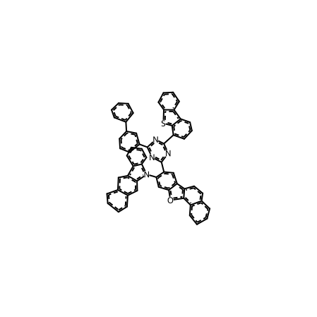 c1ccc(-c2cccc(-c3nc(-c4cc5c(cc4-n4c6ccccc6c6cc7ccccc7cc64)oc4c6ccccc6ccc54)nc(-c4cccc5c4sc4ccccc45)n3)c2)cc1